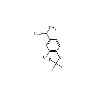 CC(C)c1ccc(SC(F)(F)F)c(Cl)c1